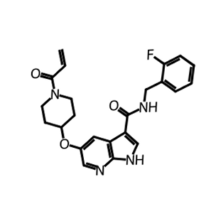 C=CC(=O)N1CCC(Oc2cnc3[nH]cc(C(=O)NCc4ccccc4F)c3c2)CC1